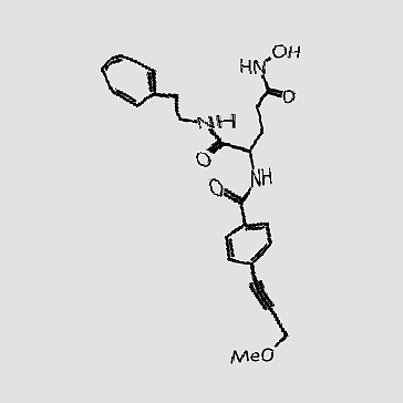 COCC#Cc1ccc(C(=O)NC(CCC(=O)NO)C(=O)NCCc2ccccc2)cc1